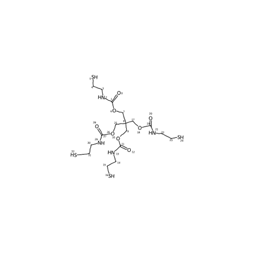 O=C(NCCS)OCC(COC(=O)NCCS)(COC(=O)NCCS)COC(=O)NCCS